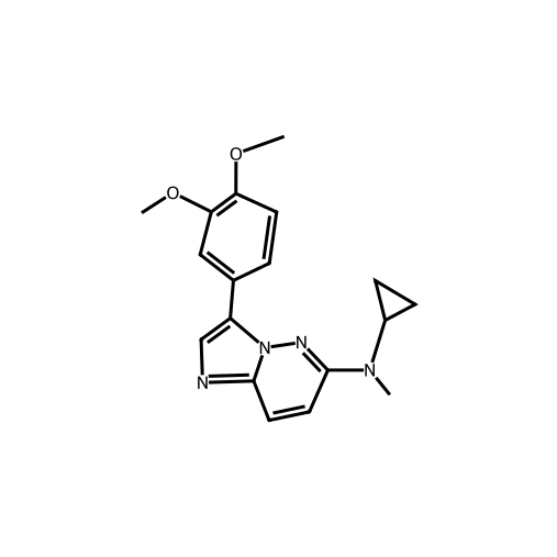 COc1ccc(-c2cnc3ccc(N(C)C4CC4)nn23)cc1OC